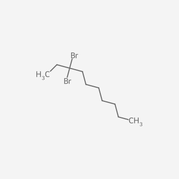 CCCCCCCC(Br)(Br)CC